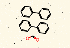 O=CO.c1ccc(-c2ccccc2)cc1.c1ccc(-c2ccccc2)cc1